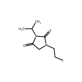 CC(C)N1C(=O)CN(CCI)C1=S